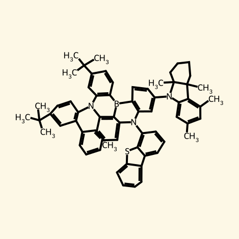 Cc1cc2c3c(c1)N(c1cccc4c1sc1ccccc14)c1cc(N4c5cc(C)cc(C)c5C5(C)CCCCC45C)ccc1B3c1ccc(C(C)(C)C)cc1N2c1ccc(C(C)(C)C)cc1-c1ccccc1